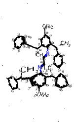 COc1cc([C@H](C)c2ccccc2)c(/N=C/C=N/c2c([C@H](C)c3ccccc3)cc(OC)cc2[C@H](C)c2ccccc2)c([C@H](C)c2ccccc2)c1